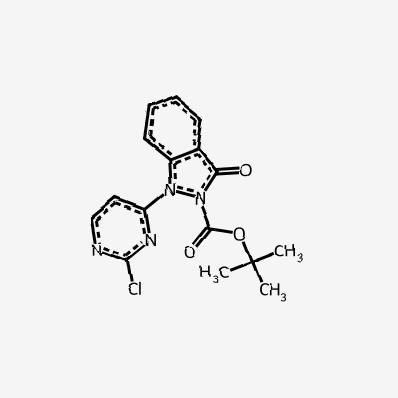 CC(C)(C)OC(=O)n1c(=O)c2ccccc2n1-c1ccnc(Cl)n1